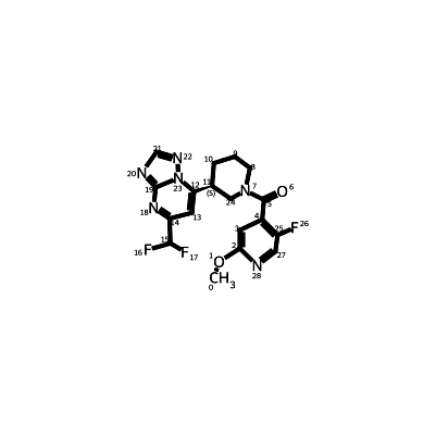 COc1cc(C(=O)N2CCC[C@H](c3cc(C(F)F)nc4ncnn34)C2)c(F)cn1